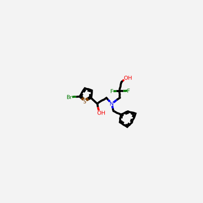 OCC(F)(F)CN(Cc1ccccc1)CC(O)c1ccc(Br)s1